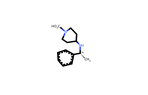 C[C@@H](NC1CCN(C(=O)O)CC1)c1ccccc1